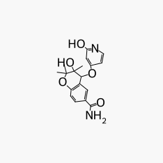 CC1(C)Oc2ccc(C(N)=O)cc2C(Oc2ccnc(O)c2)C1(C)O